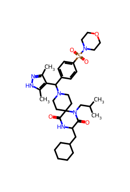 Cc1n[nH]c(C)c1C(c1ccc(S(=O)(=O)N2CCOCC2)cc1)N1CCC2(CC1)C(=O)NC(CC1CCCCC1)C(=O)N2CC(C)C